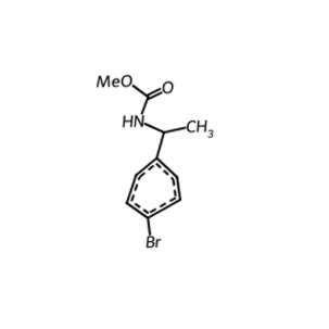 COC(=O)NC(C)c1ccc(Br)cc1